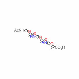 CC(=O)Nc1ccc(Oc2cc(C)cc(C(=O)Nc3ccc(Oc4cc(C)cc(C(=O)Nc5ccc(Oc6cc(C)cc(C(=O)O)c6)cc5)c4)cc3)c2)cc1